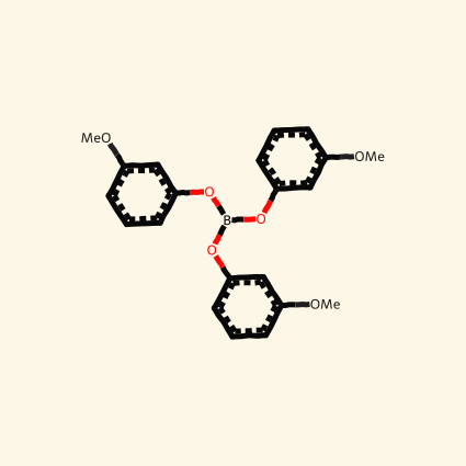 COc1cccc(OB(Oc2cccc(OC)c2)Oc2cccc(OC)c2)c1